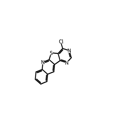 Clc1ncnc2c1sc1nc3ccccc3cc12